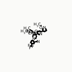 CCOc1ncccc1-c1ccc(C2(C(=O)NC[C@@H](C)N(C)C)CCN(c3ccc(C(F)(F)F)cc3C#N)CC2)cn1